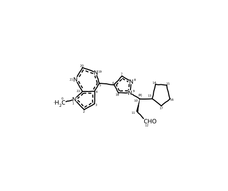 [CH2]n1ccc2c(-c3cnn([C@H](CC=O)C4CCCC4)c3)ncnc21